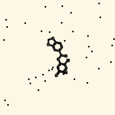 O=C(Oc1cc(=O)[nH]cc1Cl)c1ccc2c(c1)OCO2